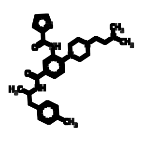 Cc1ccc(CC(C)NC(=O)c2ccc(N3CCN(CCN(C)C)CC3)c(NC(=O)c3cccs3)c2)cc1